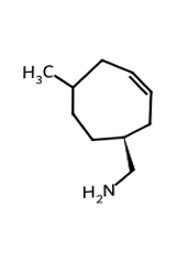 CC1C/C=C\C[C@@H](CN)CC1